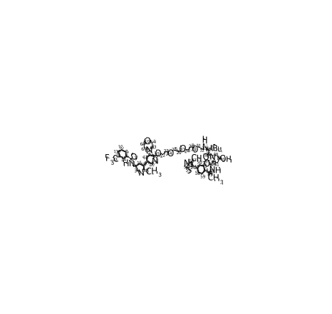 Cc1ncc(NC(=O)c2cccc(C(F)(F)F)c2)cc1-c1cnc(OCCOCCOCCOCCN[C@@H](C(=O)N2C[C@H](O)C[C@H]2C(=O)N[C@@H](C)c2ccc(-c3scnc3C)cc2)C(C)(C)C)c(N2CCOCC2)c1